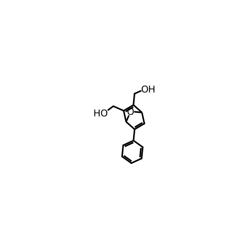 OCC1=C(CO)C2OC1C=C2c1ccccc1